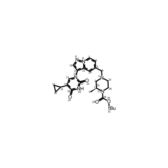 C[C@H]1CN(Cc2ccn3ncc(-n4cc(C5CC5)c(=O)[nH]c4=O)c3c2)CCN1C(=O)OC(C)(C)C